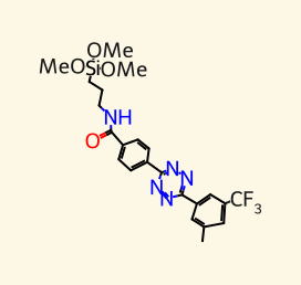 CO[Si](CCCNC(=O)c1ccc(-c2nnc(-c3cc(C)cc(C(F)(F)F)c3)nn2)cc1)(OC)OC